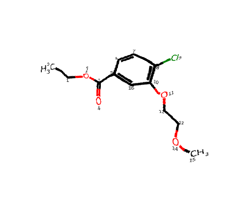 CCOC(=O)c1ccc(Cl)c(OCCOC)c1